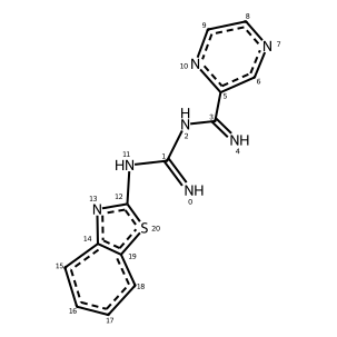 N=C(NC(=N)c1cnccn1)Nc1nc2ccccc2s1